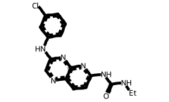 CCNC(=O)Nc1ccc2ncc(Nc3cccc(Cl)c3)nc2n1